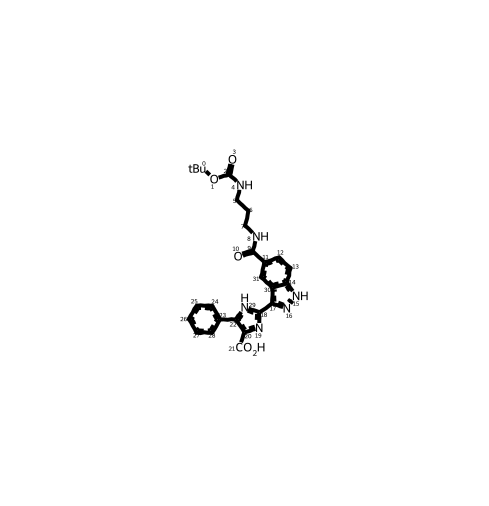 CC(C)(C)OC(=O)NCCCNC(=O)c1ccc2[nH]nc(-c3nc(C(=O)O)c(-c4ccccc4)[nH]3)c2c1